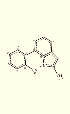 Cn1cc2cccc(-c3ncccc3C#N)c2n1